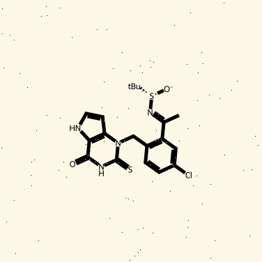 CC(=N[S@@+]([O-])C(C)(C)C)c1cc(Cl)ccc1Cn1c(=S)[nH]c(=O)c2[nH]ccc21